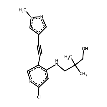 Cn1cc(C#Cc2cnc(Cl)cc2NCC(C)(C)CO)cn1